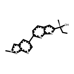 CC[C@@](C)(O)c1cc2ccc(-c3cnc4nn(C)cc4c3)nc2s1